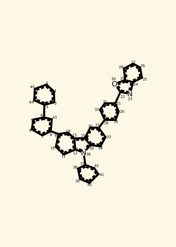 c1ccc(-c2cccc(-c3ccc4c(c3)c3cc(-c5ccc(-c6nc7ccccc7o6)cc5)ccc3n4-c3ccccc3)c2)cc1